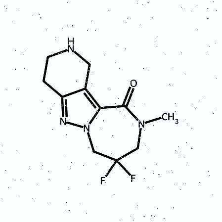 CN1CC(F)(F)Cn2nc3c(c2C1=O)CNCC3